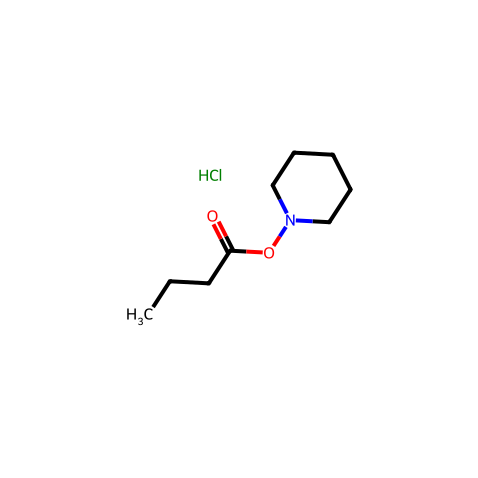 CCCC(=O)ON1CCCCC1.Cl